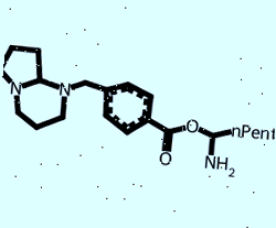 CCCCCC(N)OC(=O)c1ccc(CN2CCCN3CCCC32)cc1